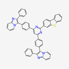 c1ccc(-c2nc3ccccn3c2-c2ccc(-c3cc(-c4ccc(-c5c(-c6ccccc6)nc6ccccn56)cc4)nc(-c4ccc5c(c4)sc4ccccc45)n3)cc2)cc1